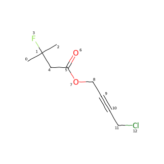 CC(C)(F)CC(=O)OCC#CCCl